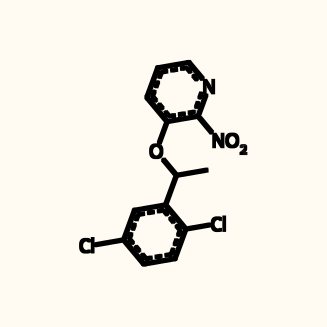 CC(Oc1cccnc1[N+](=O)[O-])c1cc(Cl)ccc1Cl